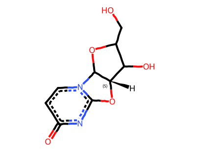 O=c1ccn2c(n1)O[C@H]1C(O)C(CO)OC12